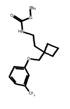 CC(C)(C)OC(=O)NCCC1(COc2cccc(C(F)(F)F)c2)CCC1